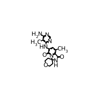 Cc1cc(Nc2ncnc(N)c2C)c(=O)n2c1C(=O)NC21CCOCC1